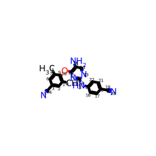 Cc1cc(C#N)cc(C)c1Oc1nc(Nc2ccc(C#N)cc2)ncc1N